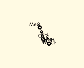 COc1ccc([C@H]2C[C@H](NC(=O)N3CCn4nc(-c5cccc(Cl)c5)c(C(N)=O)c4C3)C2)cc1